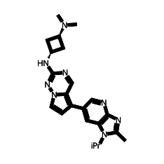 Cc1nc2ncc(-c3ccn4nc(N[C@H]5C[C@H](N(C)C)C5)ncc34)cc2n1C(C)C